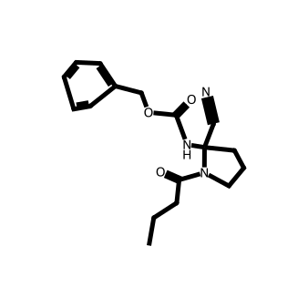 CCCC(=O)N1CCCC1(C#N)NC(=O)OCc1ccccc1